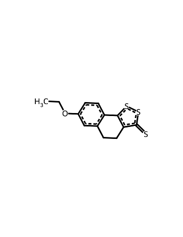 CCOc1ccc2c(c1)CCc1c-2ssc1=S